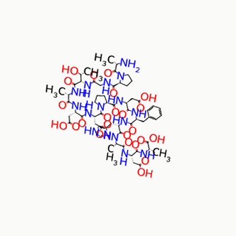 C[C@H](N)C(=O)N1CCC[C@H]1C(=O)NCC(=O)N[C@H](C(=O)N[C@@H](C)C(=O)N[C@@H](CC(=O)O)C(=O)N[C@@H](CC(=O)O)C(=O)N1CCC[C@H]1C(=O)N[C@@H](CC(=O)O)C(=O)N[C@@H](Cc1ccccc1)C(=O)N[C@@H](Cc1c[nH]cn1)C(=O)N[C@@H](C)C(=O)N[C@@H](CC(=O)O)C(=O)N[C@@H](C)C(=O)O)[C@@H](C)O